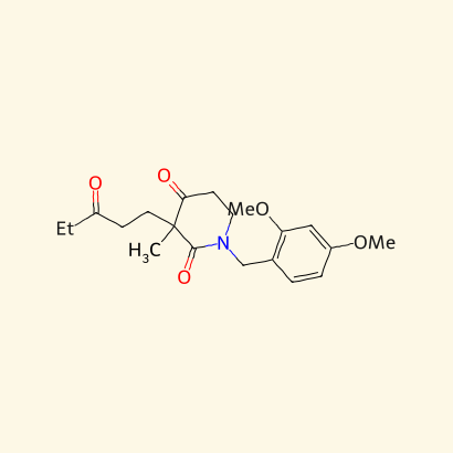 CCC(=O)CCC1(C)C(=O)CCN(Cc2ccc(OC)cc2OC)C1=O